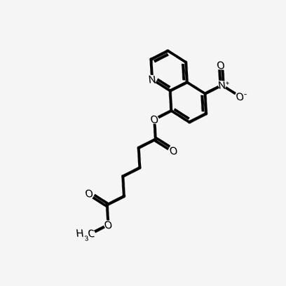 COC(=O)CCCCC(=O)Oc1ccc([N+](=O)[O-])c2cccnc12